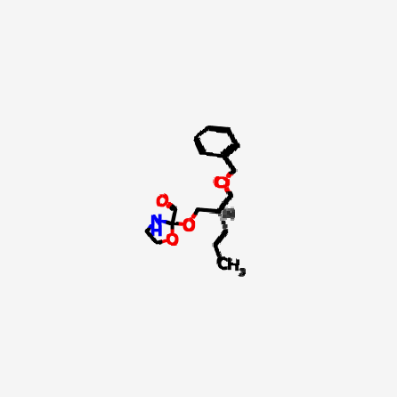 CCC[C@@H](COCc1ccccc1)COC1(C=O)NCCO1